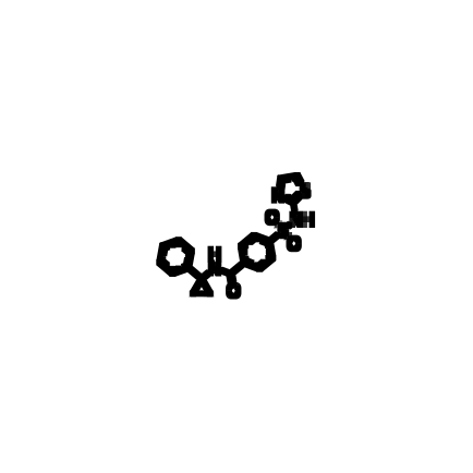 O=C(NC1(c2ccccc2)CC1)c1ccc(S(=O)(=O)Nc2nccs2)cc1